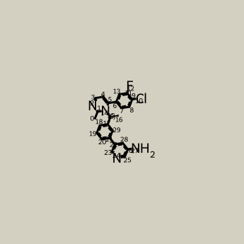 CC1N=CC=C(c2ccc(Cl)c(F)c2)N1[C@@H](C)c1cccc(-c2cncc(N)c2)c1